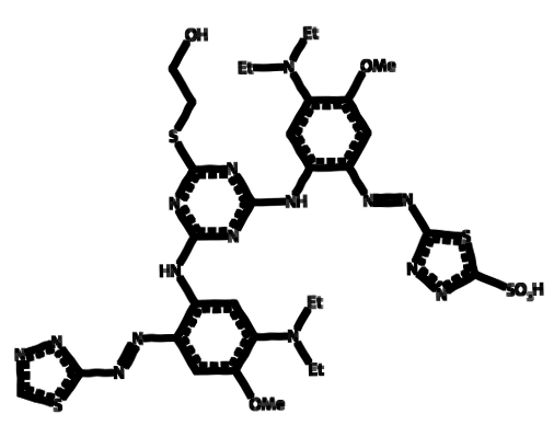 CCN(CC)c1cc(Nc2nc(Nc3cc(N(CC)CC)c(OC)cc3/N=N/c3nnc(S(=O)(=O)O)s3)nc(SCCO)n2)c(/N=N/c2nncs2)cc1OC